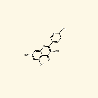 O=c1c(O)c(C2=CCC(O)C=C2)oc2cc(O)cc(O)c12